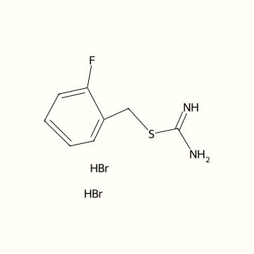 Br.Br.N=C(N)SCc1ccccc1F